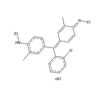 CCN=C1C=CC(=C(c2ccc(NCC)c(C)c2)c2ccccc2Cl)C=C1C.Cl